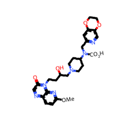 COc1ccc2ncc(=O)n(CCC(O)CN3CCC(N(Cc4cc5c(cn4)OCCO5)C(=O)O)CC3)c2n1